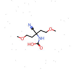 COCCC(C#N)(CCOC)NC(=O)O